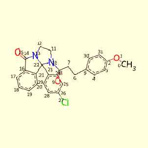 COc1ccc(CCC(=O)N2CCN3C(=O)c4ccccc4C23c2ccc(Cl)cc2)cc1